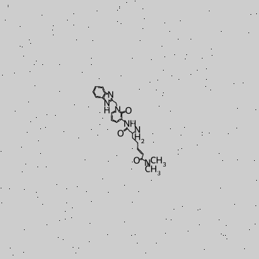 CN(C)C(=O)/C=C/CCC(N)C(=O)Nc1cccn(Cc2nc3ccccc3[nH]2)c1=O